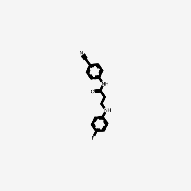 N#Cc1ccc(NC(=O)CCNc2ccc(F)cc2)cc1